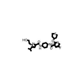 CC(C)c1cc(C(=O)N[C@H]2CC[C@@H](NC(=O)c3cc(F)cnc3OC3CCSCC3)CC2)nn1CCO